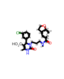 CC1=C(C(=O)O)C(c2cccc(Cl)c2)N(CCCN(C)C(=O)c2ccc3c(c2)CCO3)C(=O)N1